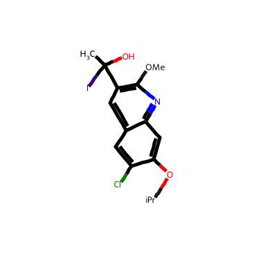 COc1nc2cc(OC(C)C)c(Cl)cc2cc1C(C)(O)I